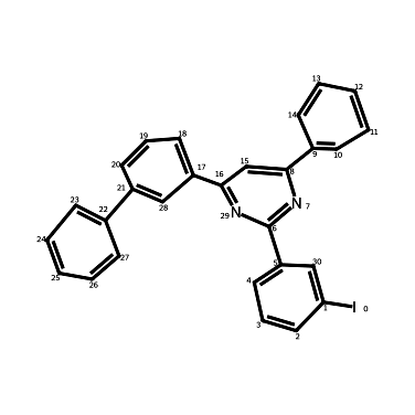 Ic1cccc(-c2nc(-c3ccccc3)cc(-c3cccc(-c4ccccc4)c3)n2)c1